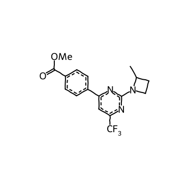 COC(=O)c1ccc(-c2cc(C(F)(F)F)nc(N3CCC3C)n2)cc1